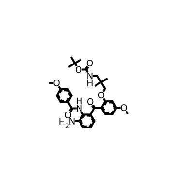 COc1ccc(C(=O)Nc2c(N)cccc2C(=O)c2ccc(OC)cc2OCC(C)(C)CNC(=O)OC(C)(C)C)cc1